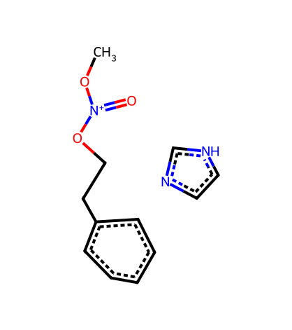 CO[N+](=O)OCCc1ccccc1.c1c[nH]cn1